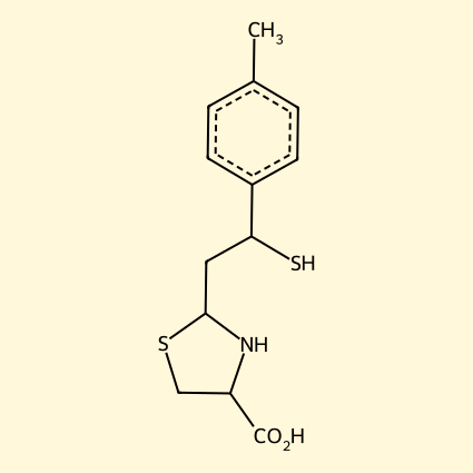 Cc1ccc(C(S)CC2NC(C(=O)O)CS2)cc1